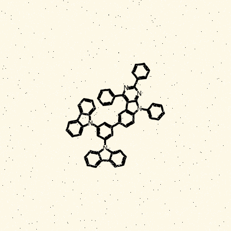 c1ccc(-c2nc(-c3ccccc3)c3c4cc(-c5cc(-n6c7ccccc7c7ccccc76)cc(-n6c7ccccc7c7ccccc76)c5)ccc4n(-c4ccccc4)c3n2)cc1